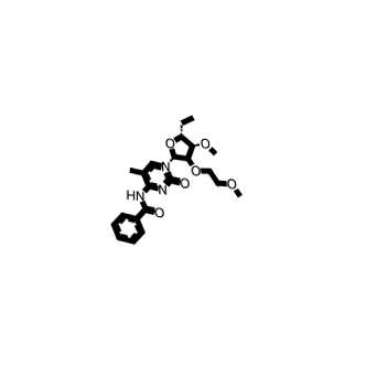 CC[C@H]1O[C@@H](n2cc(C)c(NC(=O)c3ccccc3)nc2=O)C(OCCOC)[C@H]1OC